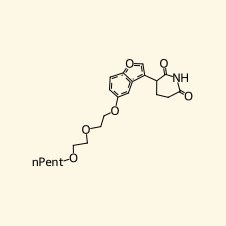 CCCCCOCCOCCOc1ccc2occ(C3CCC(=O)NC3=O)c2c1